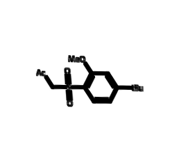 COc1cc(C(C)(C)C)ccc1S(=O)(=O)CC(C)=O